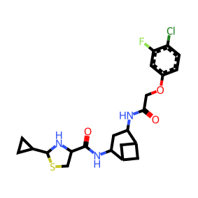 O=C(COc1ccc(Cl)c(F)c1)NC1CC(NC(=O)C2CSC(C3CC3)N2)C2CC1C2